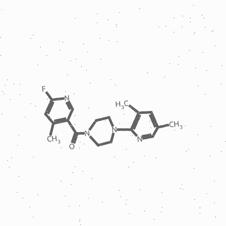 Cc1cnc(N2CCN(C(=O)c3cnc(F)cc3C)CC2)c(C)c1